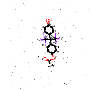 CC(C)C(=O)Oc1ccc(C(c2ccc(O)cc2)(C(I)(I)I)C(I)(I)I)cc1